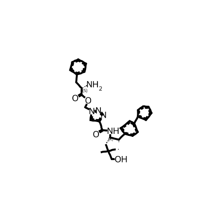 [CH2]C(C)(CO)C[C@@H]([CH]c1ccc(-c2ccccc2)cc1)NC(=O)c1cn(COC(=O)[C@@H](N)Cc2ccccc2)nn1